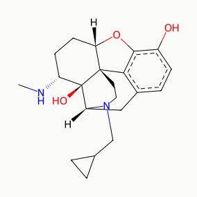 CN[C@@H]1CC[C@@H]2Oc3c(O)ccc4c3[C@@]23CCN(CC2CC2)[C@H](C4)[C@]13O